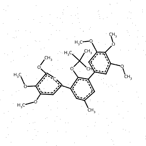 COc1cc(-c2cc(C)cc(-c3cc(OC)c(OC)c(OC)c3)c2OC(C)(C)C)cc(OC)c1OC